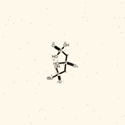 CC(C)(C)P(=O)(O)CP(=O)(O)CP(=O)(O)O